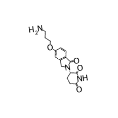 NCCCOc1ccc2c(c1)CN([C@H]1CCC(=O)NC1=O)C2=O